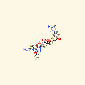 Nc1nc(C(=NOC2CCCC2)C(=O)NC2C(=O)N3CC(C=CSc4cc(=O)c5ccc(N6CCNCC6)cc5s4)(C(=O)O)CS[C@H]23)cs1